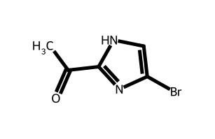 CC(=O)c1nc(Br)c[nH]1